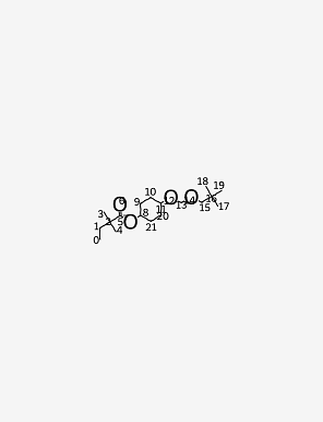 CCC(C)(C)C(=O)OC1CCC(OCOCC(C)(C)C)CC1